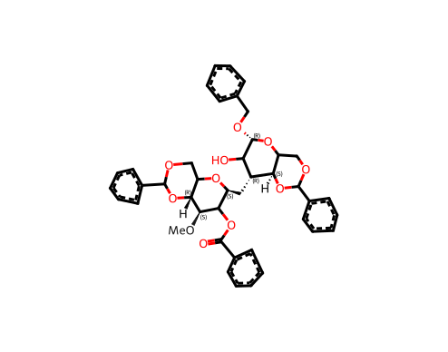 CO[C@@H]1C(OC(=O)c2ccccc2)[C@H](C[C@@H]2C(O)[C@H](OCc3ccccc3)OC3COC(c4ccccc4)O[C@H]32)OC2COC(c3ccccc3)O[C@H]21